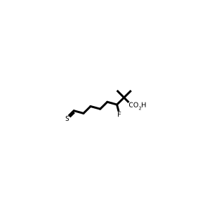 CC(C)(C(=O)O)C(F)CCCCC=S